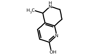 CC1NCCc2nc(O)ccc21